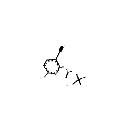 CC(C)(C)OC(=O)Oc1cc(Br)ccc1C#N